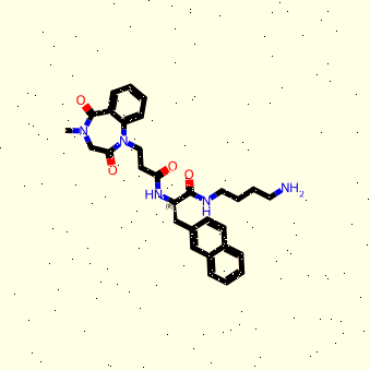 CN1CC(=O)N(CCC(=O)N[C@H](Cc2ccc3ccccc3c2)C(=O)NCCCCN)c2ccccc2C1=O